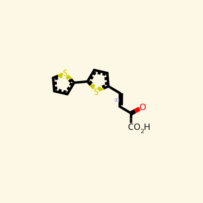 O=C(O)C(=O)/C=C/c1ccc(-c2cccs2)s1